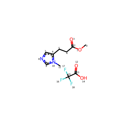 COC(=O)CCc1cncn1C.O=C(O)C(F)(F)F